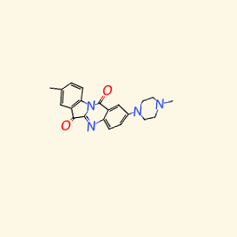 Cc1ccc2c(c1)C(=O)c1nc3ccc(N4CCN(C)CC4)cc3c(=O)n1-2